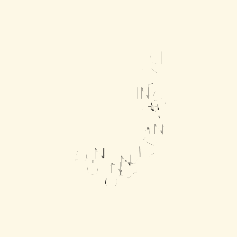 CN(CCn1nc(-c2ccc(CN3CCN(S(=O)(=O)c4cc5cc(Cl)ccc5[nH]4)CC3=O)cc2)ccc1=O)C(=O)OC(C)(C)C